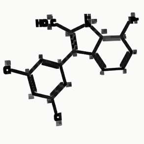 CC(C)c1cccc2c(-c3cc(Cl)cc(Cl)c3)c(C(=O)O)[nH]c12